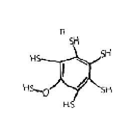 SOc1c(S)c(S)c(S)c(S)c1S.[Ti]